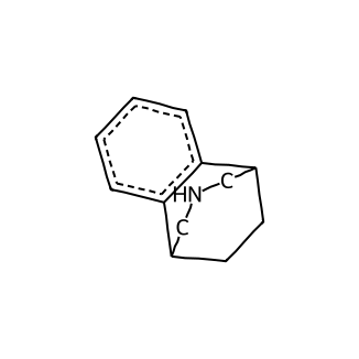 c1ccc2c(c1)C1CCC2CNC1